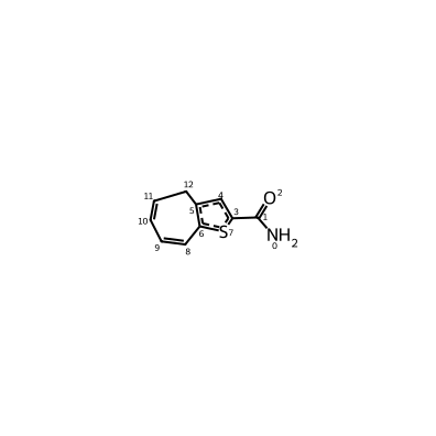 NC(=O)c1cc2c(s1)C=CC=CC2